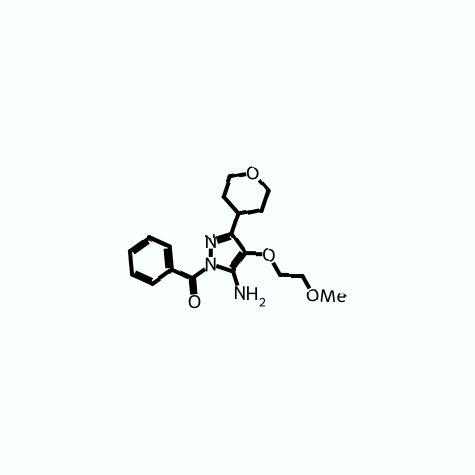 COCCOc1c(C2CCOCC2)nn(C(=O)c2ccccc2)c1N